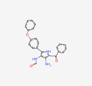 Nc1c(C(=O)c2ccccc2)[nH]c(-c2ccc(Oc3ccccc3)cc2)c1NC=O